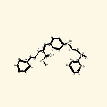 COC(=O)/C(=C\c1ccc(OCCN(C)c2ccccn2)cc1)CCCc1ccccc1